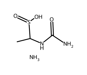 CC(NC(N)=O)S(=O)O.N